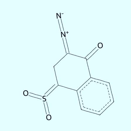 [N-]=[N+]=C1CC(=S(=O)=O)c2ccccc2C1=O